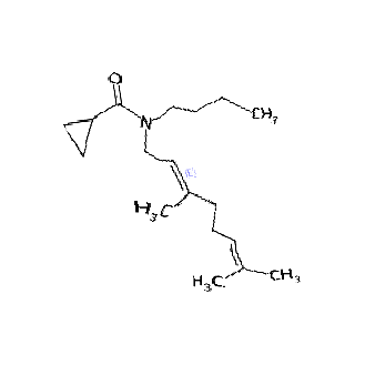 CCCCN(C/C=C(\C)CCC=C(C)C)C(=O)C1CC1